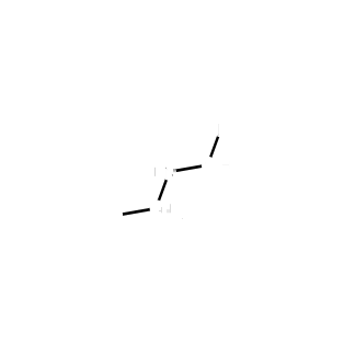 C[CH2][SnH2][NH][SnH2][CH2]C